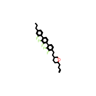 C=CCCC1CCC(CCc2ccc(-c3ccc(-c4ccc(CCC)cc4F)c(F)c3F)c(F)c2F)CO1